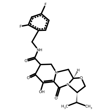 CC(C)[C@H]1CO[C@@H]2CN3CC(C(=O)NCc4ccc(F)cc4F)C(=O)C(O)=C3C(=O)N12